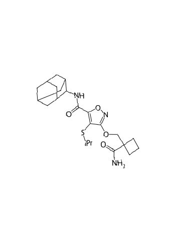 CC(C)Sc1c(OCC2(C(N)=O)CCC2)noc1C(=O)NC1C2CC3CC(C2)CC1C3